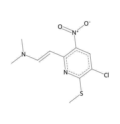 CSc1nc(C=CN(C)C)c([N+](=O)[O-])cc1Cl